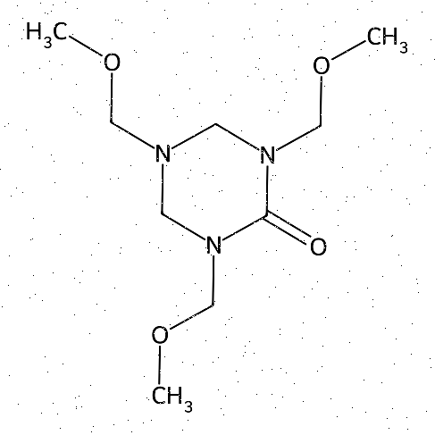 COCN1CN(COC)C(=O)N(COC)C1